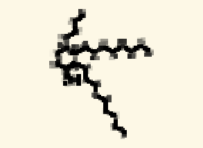 CCCCCCCCCc1c(O)ccc(CCCC)c1CCCCCCCC